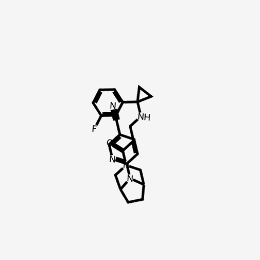 N#Cc1ccc(N2C3CCC2CN(C(=O)CCNC2(c4cccc(F)c4)CC2)C3)nc1